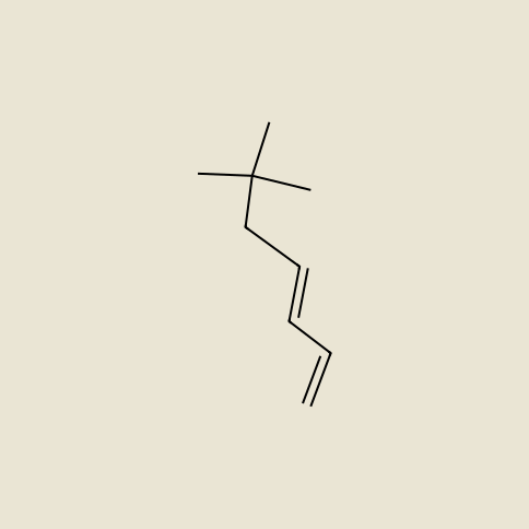 C=C/C=C/CC(C)(C)C